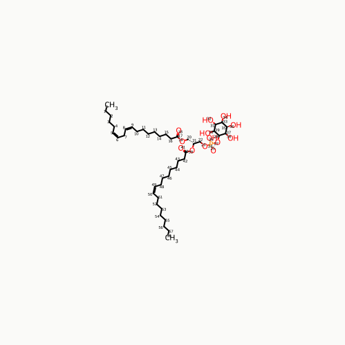 CCCCC/C=C\C/C=C\CCCCCCCC(=O)OC[C@H](COP(=O)(O)OC1C(O)C(O)C(O)[C@@H](O)C1O)OC(=O)CCCCCCC/C=C\CCCCCCCC